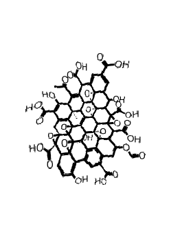 CC(=O)C1=C2C(C(=O)O)C3=CC(C(=O)O)=CC4C(O)C5C6(C(=O)O)OC67C(C(=O)O)C6C(OC=O)Cc8c(C(=O)O)cc9c%10c8[C@]68O[C@]86C7[C@]78O[C@]57[C@@]5(O[C@]345)C2C2C8=C3C45OC47C4(OC48C9=C(O)C=CC8[C@]4(C(=O)O)O[C@]74CC4=C5[C@@]2(C)C1C(O)=C4C(=O)O)C%10[C@@]36O